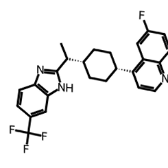 CC(c1nc2ccc(C(F)(F)F)cc2[nH]1)[C@H]1CC[C@@H](c2ccnc3ccc(F)cc32)CC1